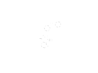 Nc1ncc(Br)cc1C(=O)NCc1ccc(Oc2ccccc2)cc1